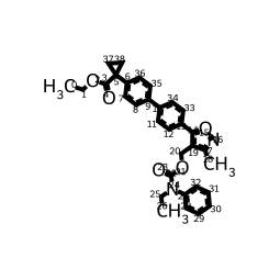 CCOC(=O)C1(c2ccc(-c3ccc(-c4onc(C)c4COC(=O)N(CC)c4ccccc4)cc3)cc2)CC1